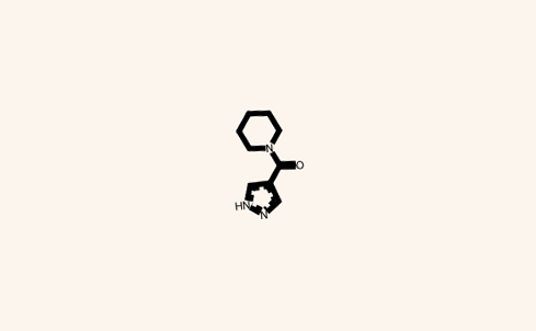 O=C(c1cn[nH]c1)N1CCCCC1